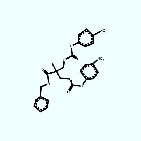 CC(COC(=O)Oc1ccc([N+](=O)[O-])cc1)(COC(=O)Oc1ccc([N+](=O)[O-])cc1)C(=O)OCc1ccccc1